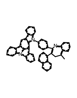 CC1=c2ccccc2=NC(c2ccc(-n3c4ccccc4c4cc5c6ccccc6n6c7ccccc7c(c43)c56)cc2)=C(c2cccc3ccccc23)C1